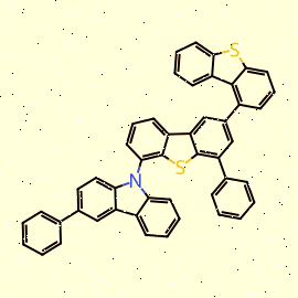 c1ccc(-c2ccc3c(c2)c2ccccc2n3-c2cccc3c2sc2c(-c4ccccc4)cc(-c4cccc5sc6ccccc6c45)cc23)cc1